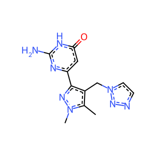 Cc1c(Cn2ccnn2)c(-c2cc(=O)[nH]c(N)n2)nn1C